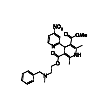 COC(=O)C1=C(C)NC(C)=C(C(=O)OCCN(C)Cc2ccccc2)C1c1cc([N+](=O)[O-])ccn1